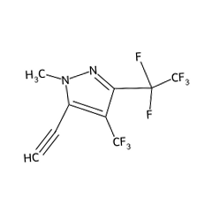 C#Cc1c(C(F)(F)F)c(C(F)(F)C(F)(F)F)nn1C